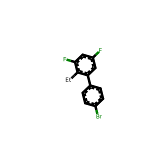 CCc1c(F)cc(F)cc1-c1ccc(Br)cc1